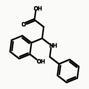 O=C(O)CC(NCc1ccccc1)c1ccccc1O